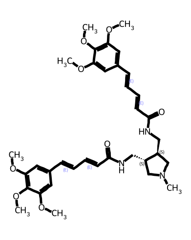 COc1cc(/C=C/C=C/C(=O)NC[C@H]2CN(C)C[C@@H]2CNC(=O)/C=C/C=C/c2cc(OC)c(OC)c(OC)c2)cc(OC)c1OC